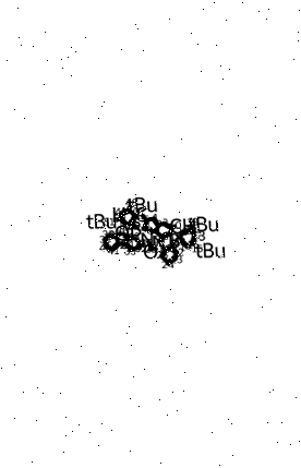 Cc1cc2cc(C)c3c4c2c2c1B(c1cc(C(C)(C)C)cc(C(C)(C)C)c1)c1ccccc1N2C(=O)N4c1ccc2c(oc4ccccc42)c1B3c1cc(C(C)(C)C)cc(C(C)(C)C)c1